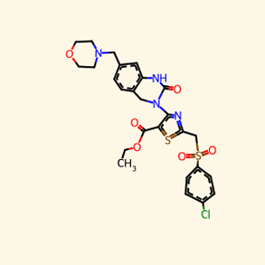 CCOC(=O)c1sc(CS(=O)(=O)c2ccc(Cl)cc2)nc1N1Cc2ccc(CN3CCOCC3)cc2NC1=O